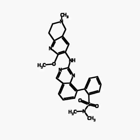 COc1nc2c(cc1Nc1ncc3cccc(-c4ccccc4S(=O)(=O)N(C)C)c3n1)CN(C)CC2